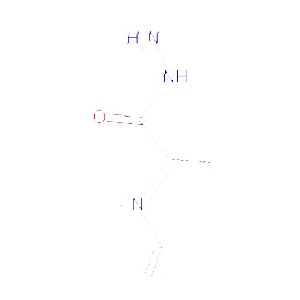 C=C/N=C(\C)C(=O)NN